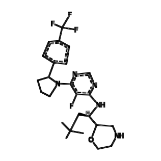 CC(C)(C)C[C@@H](Nc1ncnc(N2CCCC2c2ccc(C(F)(F)F)cc2)c1F)C1CNCCO1